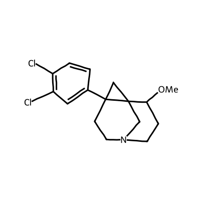 COC1CCN2CCC3(c4ccc(Cl)c(Cl)c4)CC13C2